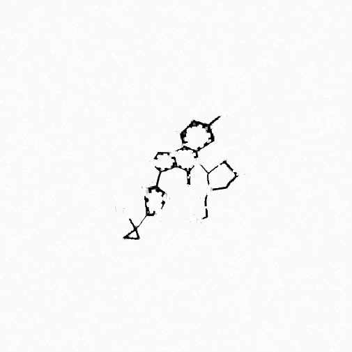 CC1(c2nc(-c3ncn4c3c(=O)n(C3CCCN3CCN)c3cc(Cl)ccc34)no2)CC1